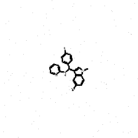 Cn1cc(C(Nc2ccccn2)c2ccc(F)cc2)c2cc(Br)ccc21